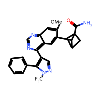 COc1cc2ncnc(-c3cnn(C(F)(F)F)c3-c3ccccc3)c2cc1C1C2CC1(C(N)=O)C2